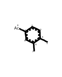 [CH2]C(=O)c1ccc(C)c(C)c1